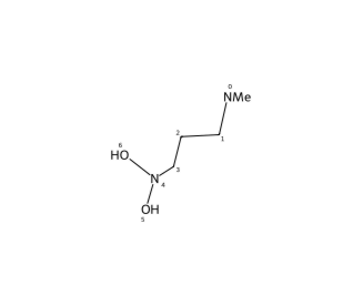 CNCCCN(O)O